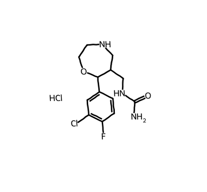 Cl.NC(=O)NCC1CNCCOC1c1ccc(F)c(Cl)c1